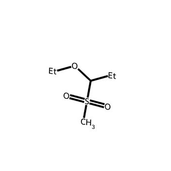 CCOC(CC)S(C)(=O)=O